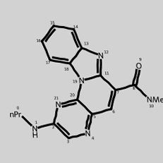 CCCNc1cnc2cc(C(=O)NC)c3nc4ccccc4n3c2n1